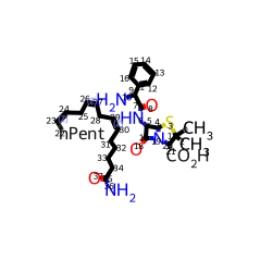 CC1(C)SC2C(NC(=O)C(N)c3ccccc3)C(=O)N2C1C(=O)O.CCCCC/C=C\C/C=C\C/C=C\CCCCC(N)=O